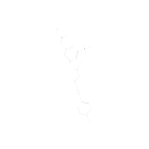 CNC(=O)Oc1cc(C(C)(C)C)c2nc(/C=C/C#Cc3ccc(N)nc3)sc2c1